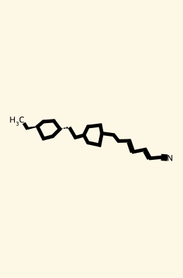 CC[C@H]1CC[C@H](CCC2CCC(CCC=CC=CC#N)CC2)CC1